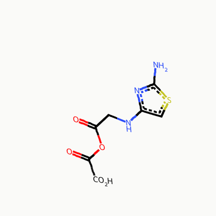 Nc1nc(NCC(=O)OC(=O)C(=O)O)cs1